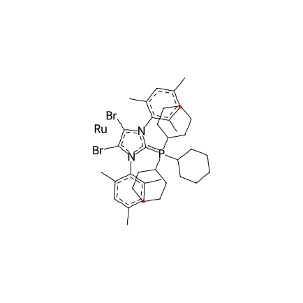 Cc1cc(C)c(-n2c(Br)c(Br)n(-c3c(C)cc(C)cc3C)c2=P(C2CCCCC2)(C2CCCCC2)C2CCCCC2)c(C)c1.[Ru]